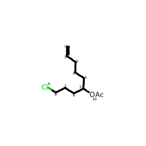 C=CCCCC(CCCCl)OC(C)=O